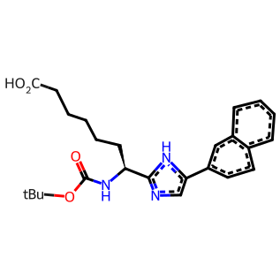 CC(C)(C)OC(=O)N[C@@H](CCCCCC(=O)O)c1ncc(-c2ccc3ccccc3c2)[nH]1